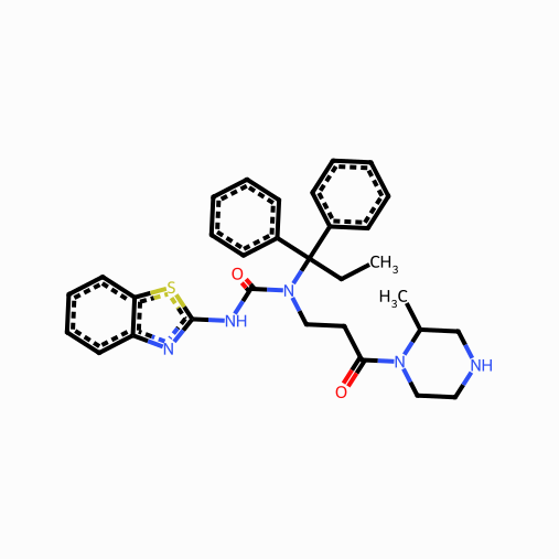 CCC(c1ccccc1)(c1ccccc1)N(CCC(=O)N1CCNCC1C)C(=O)Nc1nc2ccccc2s1